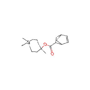 CC1(OC(=O)C2CC3C=CC2C3)CC[Si](C)(C)CC1